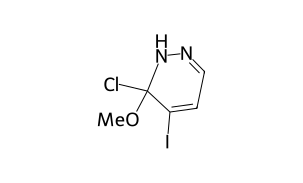 COC1(Cl)NN=CC=C1I